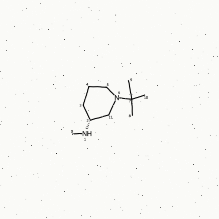 CN[C@@H]1CCCN(C(C)(C)C)C1